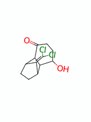 O=C1CCC(O)C2C3CCC(C3=C(Cl)Cl)C12